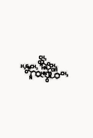 Cc1ccc(CNC(=O)[C@H](Cc2ccc(/C=C(\C#N)C(=O)N(C)C)cc2)NC(=O)[C@@H](NC(=O)c2cc(C)on2)[C@@H](C)O)cc1